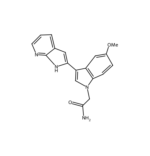 COc1ccc2c(c1)c(-c1cc3cccnc3[nH]1)cn2CC(N)=O